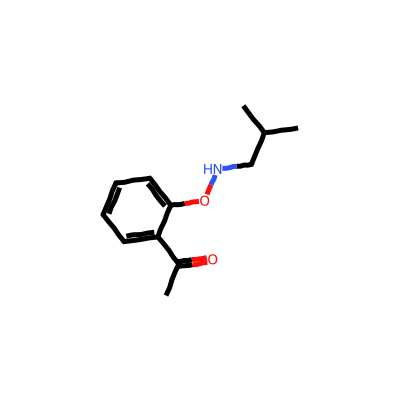 CC(=O)c1ccccc1ONCC(C)C